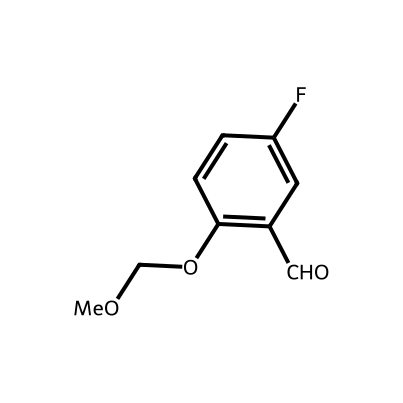 COCOc1ccc(F)cc1C=O